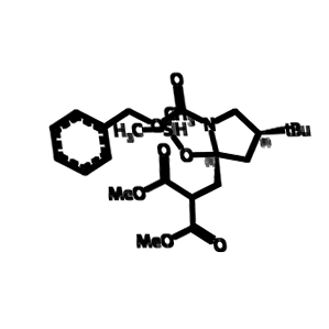 COC(=O)C(C[C@]1(O[SiH](C)C)C[C@H](C(C)(C)C)CN1C(=O)OCc1ccccc1)C(=O)OC